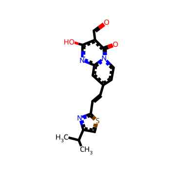 CC(C)c1csc(C=Cc2ccn3c(=O)c(C=O)c(O)nc3c2)n1